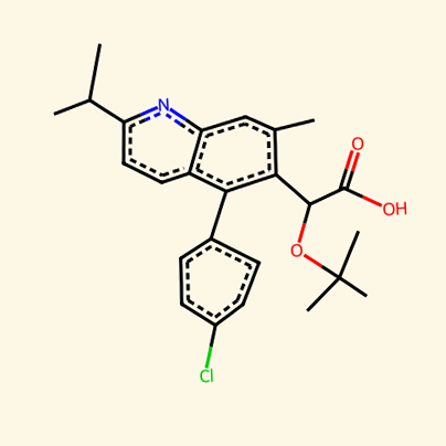 Cc1cc2nc(C(C)C)ccc2c(-c2ccc(Cl)cc2)c1C(OC(C)(C)C)C(=O)O